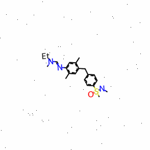 CCN(C)C=Nc1cc(C)c(Cc2ccc(S(C)(=O)=NC)cc2)cc1C